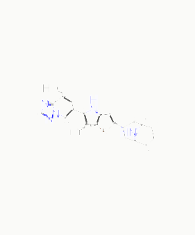 Cc1cc(-c2[nH]c3cc(C4CC5CCCC(C4)N5)sc3c2C(C)C)cn2ncnc12